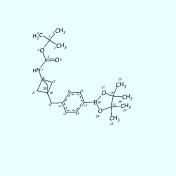 CC(C)(C)OC(=O)NC12CC(Cc3ccc(B4OC(C)(C)C(C)(C)O4)cc3)(C1)C2